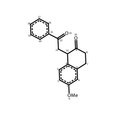 COc1ccc2c(c1)CCC(=O)C2CC(=O)c1ccccc1